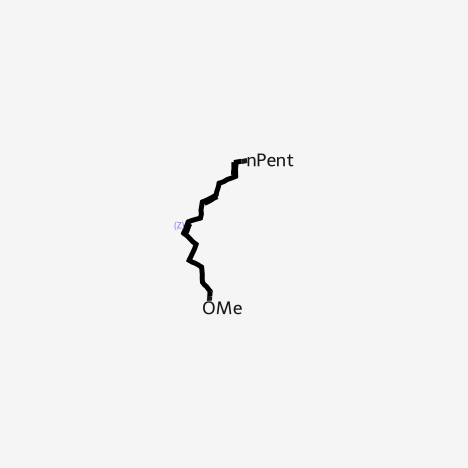 [CH2]OCCCCC/C=C\CC=CCC=CCCCCC